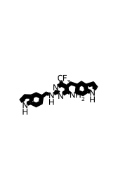 Nc1nc(NCc2ccc3[nH]ccc3c2)nc(C(F)(F)F)c1Cc1ccc2[nH]ccc2c1